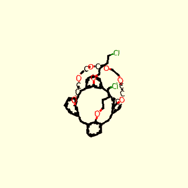 ClCCCCOc1c2cccc1Cc1cccc3c1OCCOCCOCCOCCOCCOc1c(cccc1Cc1cccc(c1OCCCCCl)C3)C2